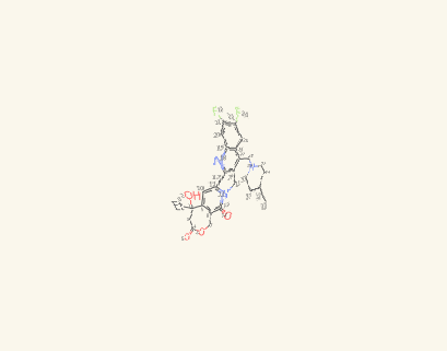 CCC1(O)CC(=O)OCc2c1cc1n(c2=O)Cc2c-1nc1cc(F)c(F)cc1c2CN1CCC(C)CC1